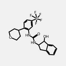 O=C(Nc1cc(S(F)(F)(F)(F)F)ccc1C1CCOCC1)NC1Cc2ccccc2C1O